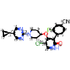 N#Cc1ccc(-c2c(OC3CCN(c4ncc(C5CC5)cn4)CC3)c(Cl)c[nH]c2=O)c(F)c1